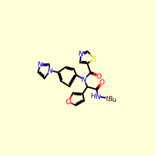 CC(C)(C)NC(=O)C(c1ccoc1)N(C(=O)c1cncs1)c1ccc(-n2ccnc2)cc1